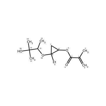 C=C(C)C(=O)OC1CC1(CC)OC(C)C(C)(C)O